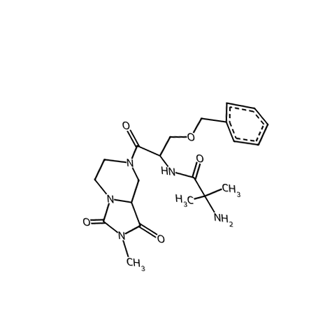 CN1C(=O)C2CN(C(=O)C(COCc3ccccc3)NC(=O)C(C)(C)N)CCN2C1=O